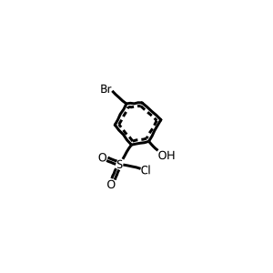 O=S(=O)(Cl)c1cc(Br)ccc1O